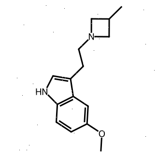 COc1ccc2[nH]cc(CCN3CC(C)C3)c2c1